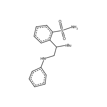 CCCCC(CNc1ccccc1)c1ccccc1S(N)(=O)=O